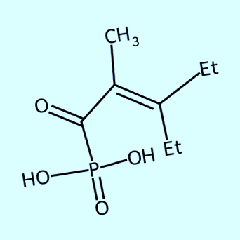 CCC(CC)=C(C)C(=O)P(=O)(O)O